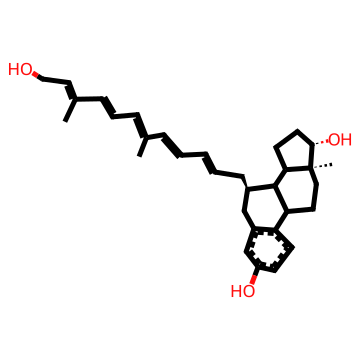 CC(/C=C/C=C/C[C@@H]1Cc2cc(O)ccc2C2CC[C@@]3(C)C(CC[C@@H]3O)C21)=C\C=C\C(C)=C\CO